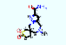 CC(C)N1Cc2cc(C(N)=O)nn2CC2(CCS(=O)(=O)C2)C1